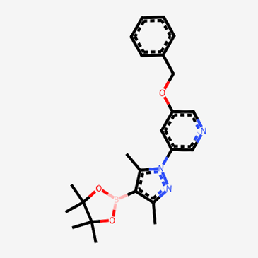 Cc1nn(-c2cncc(OCc3ccccc3)c2)c(C)c1B1OC(C)(C)C(C)(C)O1